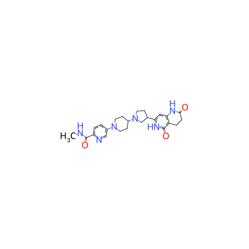 CNC(=O)c1ccc(N2CCC(N3CCC(c4cc5c(c(=O)[nH]4)CCC(=O)N5)C3)CC2)cn1